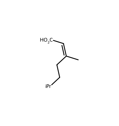 CC(=CC(=O)O)CCC(C)C